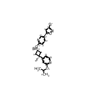 CC(C)Oc1cc([C@]2(F)C[C@@H](Oc3ccc(-c4cc([O-])no4)cn3)C2)ccn1.[Na+]